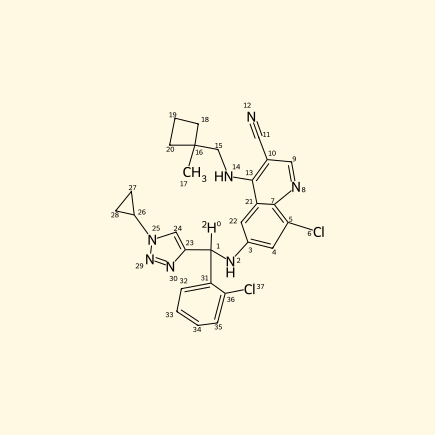 [2H]C(Nc1cc(Cl)c2ncc(C#N)c(NCC3(C)CCC3)c2c1)(c1cn(C2CC2)nn1)c1ccccc1Cl